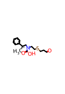 C[C@H](CN(CCSCCC=O)C(=O)O)c1ccccc1